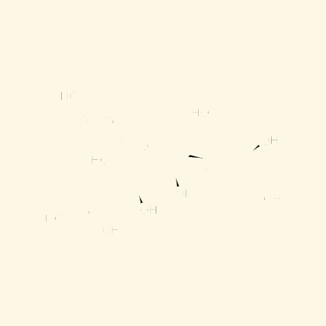 OC[C@@H](O)[C@H](O)[C@H](O)[C@H](OSOOO)[C@H](O)C[S@+]1C[C@@H](O)[C@H](O)[C@H]1CO